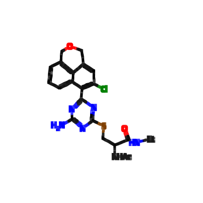 CCNC(=O)C(CSc1nc(N)nc(-c2c(Cl)cc3c4c(cccc24)COC3)n1)NC(C)=O